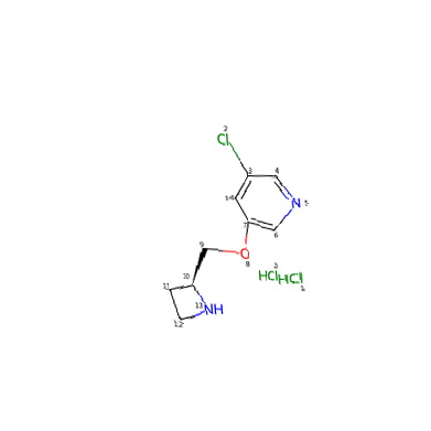 Cl.Cl.Clc1cncc(OC[C@@H]2CCN2)c1